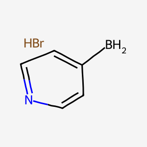 Bc1ccncc1.Br